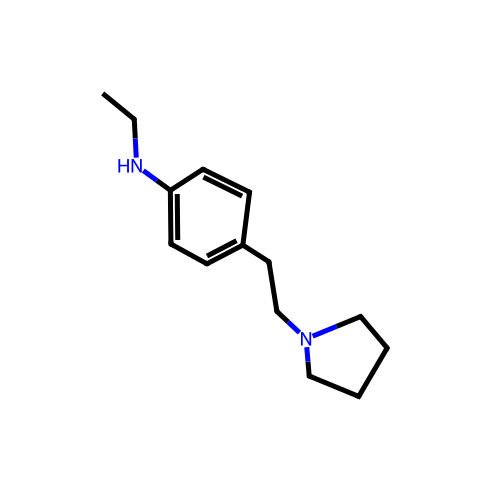 CCNc1ccc(CCN2CCCC2)cc1